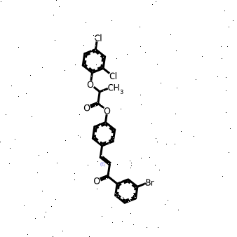 CC(Oc1ccc(Cl)cc1Cl)C(=O)Oc1ccc(/C=C/C(=O)c2cccc(Br)c2)cc1